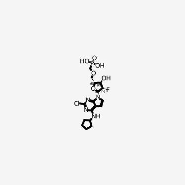 O=P(O)(O)COC[C@H]1O[C@@H](n2ccc3c(NC4CCCC4)nc(Cl)nc32)[C@@H](F)[C@@H]1O